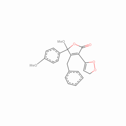 COc1ccc(C2(OC)OC(=O)C(C3=CCOO3)=C2Cc2ccccc2)cc1